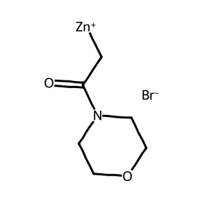 O=C([CH2][Zn+])N1CCOCC1.[Br-]